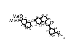 COc1cc2nccc(Oc3ccc4c(NC(=O)c5cccc(OC(F)(F)F)c5)cccc4c3)c2cc1OC